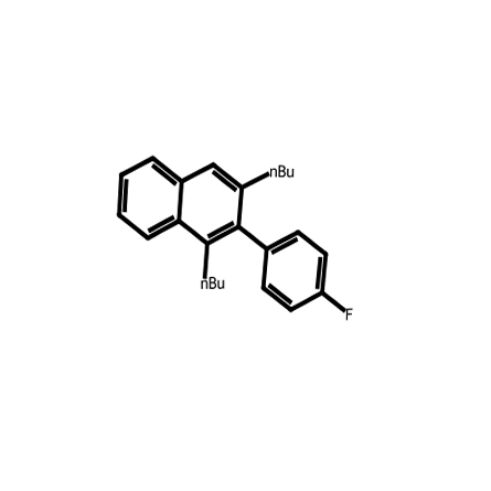 CCCCc1cc2ccccc2c(CCCC)c1-c1ccc(F)cc1